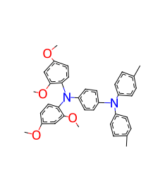 COc1ccc(N(c2ccc(N(c3ccc(C)cc3)c3ccc(C)cc3)cc2)c2ccc(OC)cc2OC)c(OC)c1